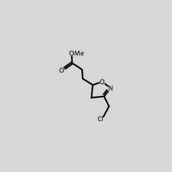 COC(=O)CCC1CC(CCl)=NO1